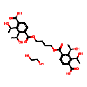 CC(O)c1c(C(=O)O)ccc(C(=O)OCCCCOC(=O)c2ccc(C(=O)O)c(C(C)O)c2C(C)O)c1C(C)O.OCCO